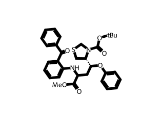 COC(=O)C(CC(Oc1ccccc1)[C@@H]1CSCN1C(=O)OC(C)(C)C)Nc1ccccc1C(=O)c1ccccc1